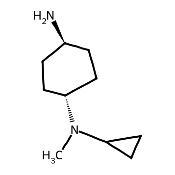 CN(C1CC1)[C@H]1CC[C@H](N)CC1